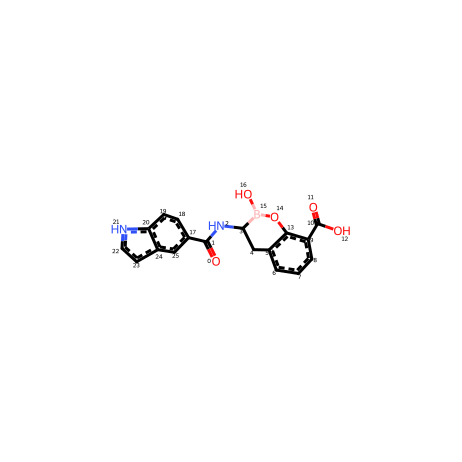 O=C(NC1Cc2cccc(C(=O)O)c2OB1O)c1ccc2[nH]ccc2c1